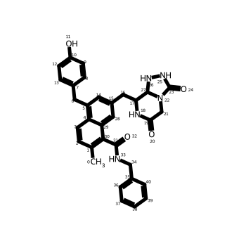 Cc1ccc2c(Cc3ccc(O)cc3)cc(CC3NC(=O)CN4C(=O)NNC34)cc2c1C(=O)NCc1ccccc1